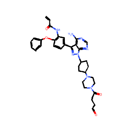 C=CC(=O)Nc1cc(-c2nn(C3CCC(N4CCN(C(=O)CCC=O)CC4)CC3)c3ncnc(N)c23)ccc1Oc1ccccc1